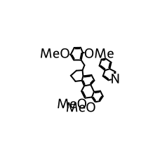 COc1ccc(OC)c(CC2CCCc3c2ccc2c3cc(OC)c3c(OC)cccc32)c1.c1ccc2cnccc2c1